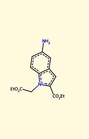 CCOC(=O)Cn1c(C(=O)OCC)cc2cc(N)ccc21